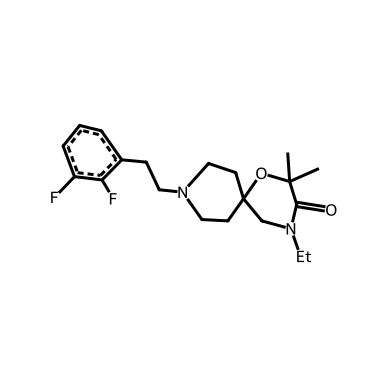 CCN1CC2(CCN(CCc3cccc(F)c3F)CC2)OC(C)(C)C1=O